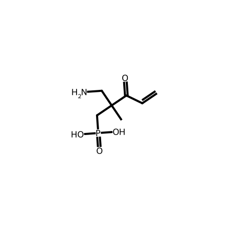 C=CC(=O)C(C)(CN)CP(=O)(O)O